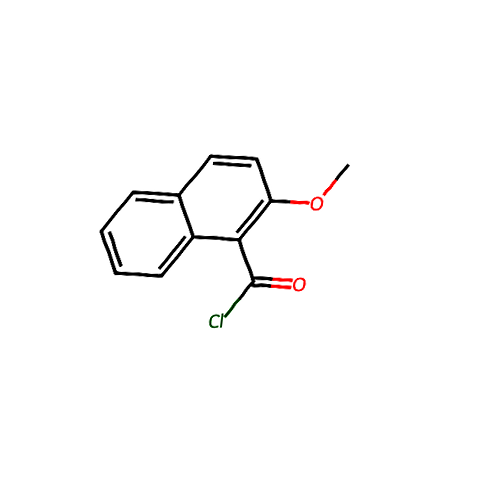 COc1ccc2ccccc2c1C(=O)Cl